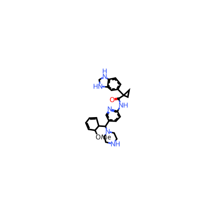 COC1C=CC=CC1C(c1ccc(NC(=O)C2(c3ccc4c(c3)NCN4)CC2)nc1)N1CCNCC1